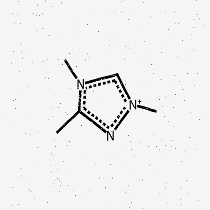 Cc1n[n+](C)cn1C